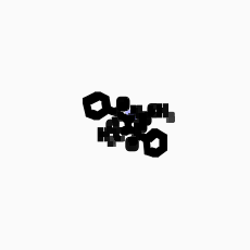 C=C(/C(=N\OC)S(=O)(=O)c1ccccc1)S(=O)(=O)c1ccccc1